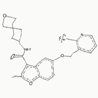 Cc1oc2ccc(OCc3cccnc3C(F)(F)F)cc2c1C(=O)NC1CC2(COC2)C1